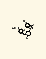 COc1ccc(CN2C(=O)CCC(n3nc(C)c4cc(Br)ccc43)C2=O)cc1